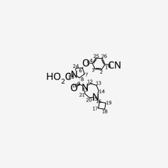 N#Cc1ccc(O[C@@H]2C[C@H](C(=O)N3CCCN(C4CCC4)CC3)N(C(=O)O)C2)cc1